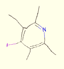 Cc1nc(C)c(C)c(I)c1C